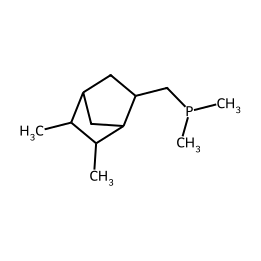 CC1C2CC(CP(C)C)C(C2)C1C